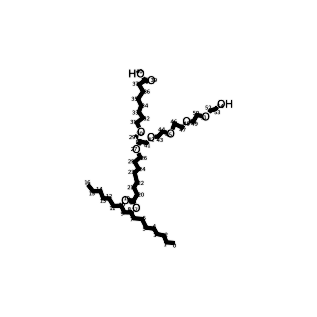 CCCCCCCCC(CCCCCCCC)OC(=O)CCCCCCCO[C@H](COCCCCCCCC(=O)O)COCCOCCOCCOCCO